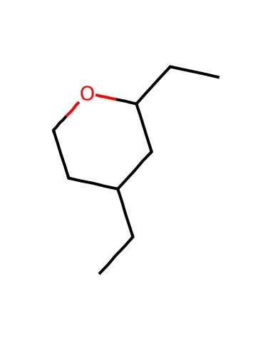 CCC1CCOC(CC)C1